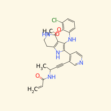 C=CC(=O)NC(C)C#Cc1cnccc1-c1[nH]c2c(c1Nc1cccc(Cl)c1OC)C(=O)NCC2